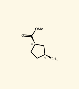 COC(=O)[C@@H]1CC[C@H](C)C1